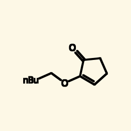 CCCCCOC1=CCCC1=O